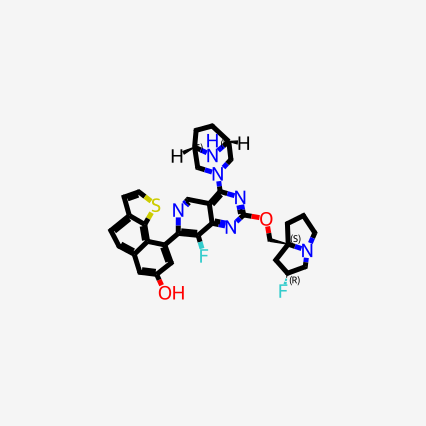 Oc1cc(-c2ncc3c(N4C[C@H]5CC[C@@H](C4)N5)nc(OC[C@@]45CCCN4C[C@H](F)C5)nc3c2F)c2c(ccc3ccsc32)c1